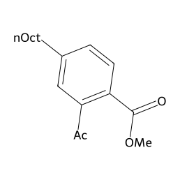 CCCCCCCCc1ccc(C(=O)OC)c(C(C)=O)c1